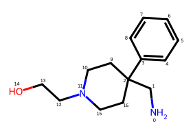 NCC1(c2ccccc2)CCN(CCO)CC1